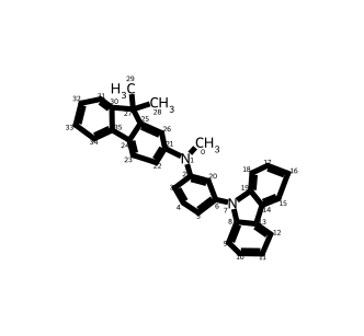 CN(c1cccc(-n2c3ccccc3c3ccccc32)c1)c1ccc2c(c1)C(C)(C)c1ccccc1-2